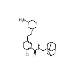 NC1CCCN(CCc2ccc(Cl)c(C(=O)NCC34CC5CC(CC(C5)C3)C4)c2)C1